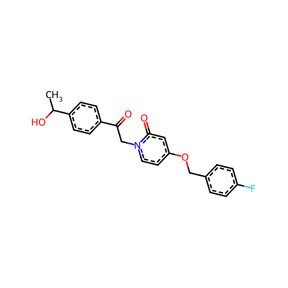 CC(O)c1ccc(C(=O)Cn2ccc(OCc3ccc(F)cc3)cc2=O)cc1